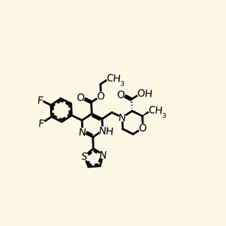 CCOC(=O)C1=C(CN2CCO[C@H](C)[C@H]2C(=O)O)NC(c2nccs2)=NC1c1ccc(F)c(F)c1